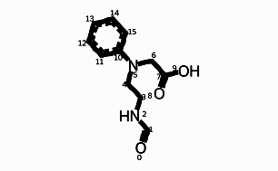 O=CNCCN(CC(=O)O)c1ccccc1